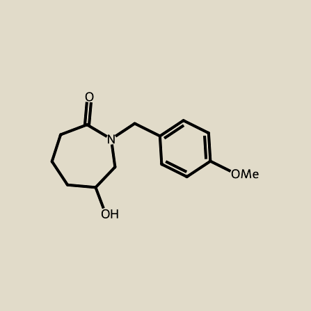 COc1ccc(CN2CC(O)CCCC2=O)cc1